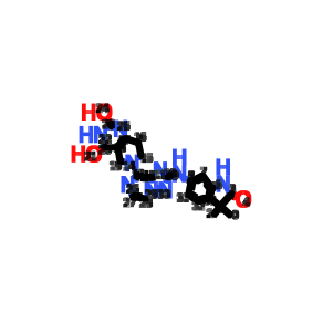 CC1(C)C(=O)Nc2cc(Nc3nc4c(N5CCC6=C(C5)C(O)NC(O)=N6)nccn4n3)ccc21